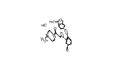 CN1CCN(C(=O)COc2cc(C#N)ccc2Oc2ccc3c(c2)COB3O)CC1.Cl